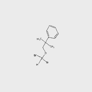 CC(C)(C[O][Zr]([Br])([Br])[Br])c1ccccc1